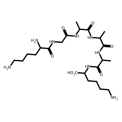 CC(NC(=O)CNC(=O)C(N)CCCCN)C(=O)NC(C)C(=O)NC(C)C(=O)NC(CCCCN)C(=O)O